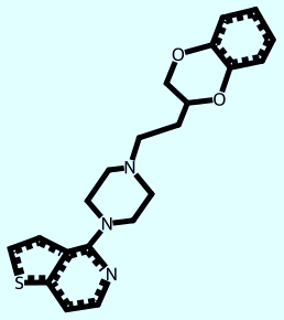 c1ccc2c(c1)OCC(CCN1CCN(c3nccc4sccc34)CC1)O2